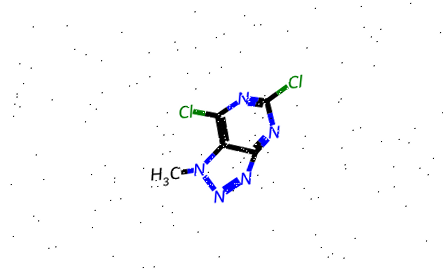 Cn1nnc2nc(Cl)nc(Cl)c21